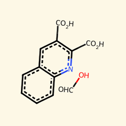 O=C(O)c1cc2ccccc2nc1C(=O)O.O=CO